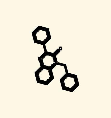 O=c1c(-c2ccccc2)nc2ccccc2n1Cc1ccccc1